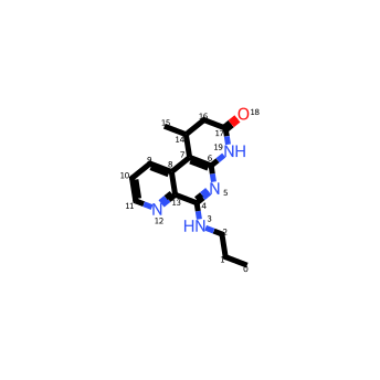 CCCNc1nc2c(c3cccnc13)C(C)CC(=O)N2